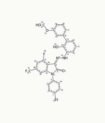 CCc1ccc(N2C(=O)C(=NNc3cccc(-c4cccc(OC(=O)O)c4)c3O)c3c(F)cc(C(F)(F)F)cc32)cc1